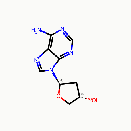 Nc1ncnc2c1ncn2[C@H]1C[C@H](O)CO1